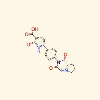 CC(=O)N(C(=O)[C@@H]1CCCN1)c1ccc(-c2ccc(C(=O)O)c(=O)[nH]2)cc1